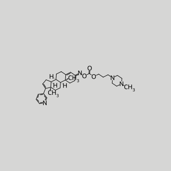 CN1CCN(CCCOC(=O)ON=C2C=C3CC[C@H]4[C@H](CC[C@]5(C)C(c6cccnc6)=CC[C@@H]45)[C@@]3(C)CC2)CC1